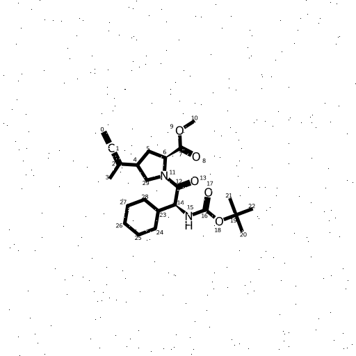 C=C=C(C)C1C[C@@H](C(=O)OC)N(C(=O)[C@@H](NC(=O)OC(C)(C)C)C2CCCCC2)C1